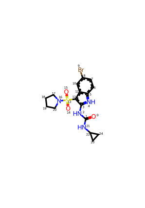 O=C(Nc1[nH]c2ccc(Br)cc2c1S(=O)(=O)N1CCCC1)NC1CC1